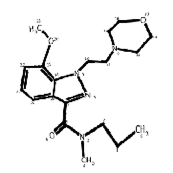 CCCN(C)C(=O)c1nn(CCN2CCOCC2)c2c(OC)cccc12